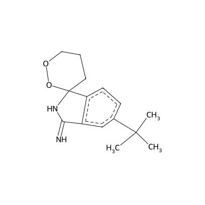 CC(C)(C)c1ccc2c(c1)C(=N)NC21CCCOO1